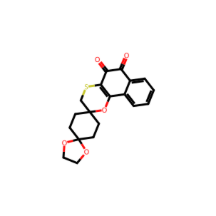 O=C1C(=O)c2ccccc2C2=C1SCC1(CCC3(CC1)OCCO3)O2